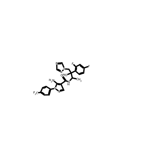 CC(NC(=O)c1cnn(-c2ccc(C(F)(F)F)cc2)c1N)C(O)(Cn1cncn1)c1ccc(F)cc1F